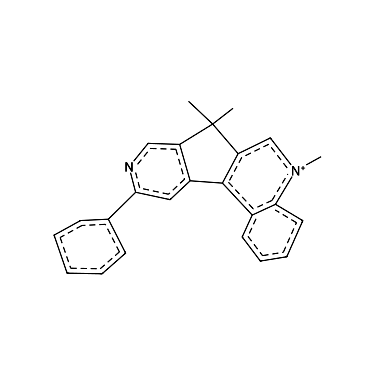 C[n+]1cc2c(c3ccccc31)-c1cc(-c3ccccc3)ncc1C2(C)C